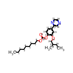 CCCCCCCCCOC(=O)Oc1ccc(-c2cnccn2)cc1OCC(C)CC